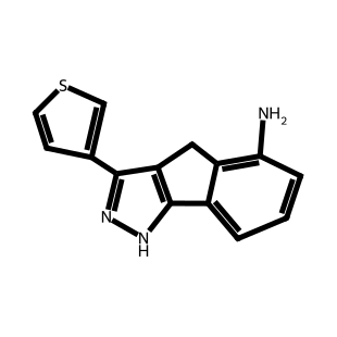 Nc1cccc2c1Cc1c(-c3ccsc3)n[nH]c1-2